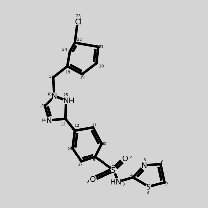 O=S(=O)(Nc1nccs1)c1ccc(C2N=CN(Cc3cccc(Cl)c3)N2)cc1